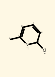 CC1=CC=C[C](Cl)N1